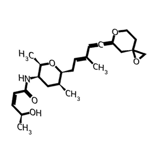 C/C(C=C=C1C[C@@]2(CCO1)CO2)=C\C[C@@H]1O[C@H](C)[C@H](NC(=O)/C=C\[C@H](C)O)C[C@@H]1C